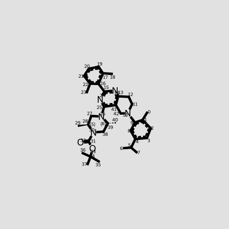 Cc1ccc(C(C)C)cc1N1CCc2nc(-c3c(C)cccc3C)nc(N3C[C@H](C)N(C(=O)OC(C)(C)C)C[C@H]3C)c2C1